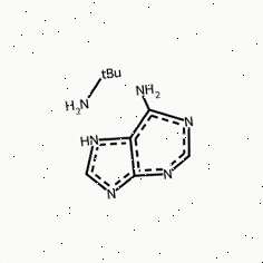 CC(C)(C)N.Nc1ncnc2nc[nH]c12